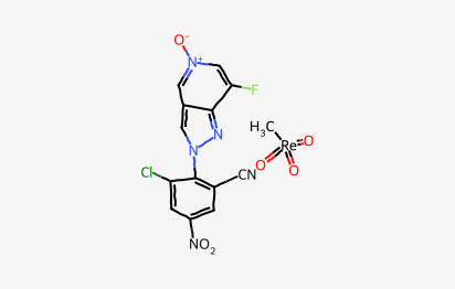 N#Cc1cc([N+](=O)[O-])cc(Cl)c1-n1cc2c[n+]([O-])cc(F)c2n1.[CH3][Re](=[O])(=[O])=[O]